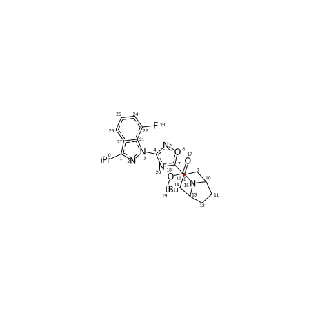 CC(C)c1nn(-c2noc(C3CC4CCC(C3)N4C(=O)OC(C)(C)C)n2)c2c(F)cccc12